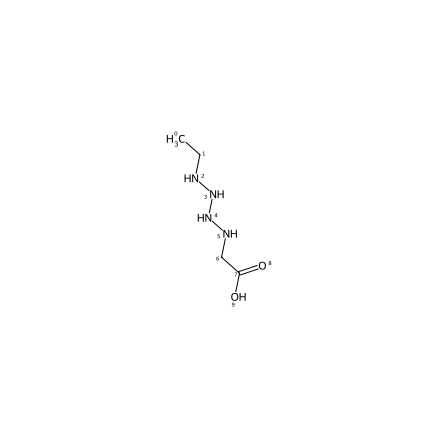 CCNNNNCC(=O)O